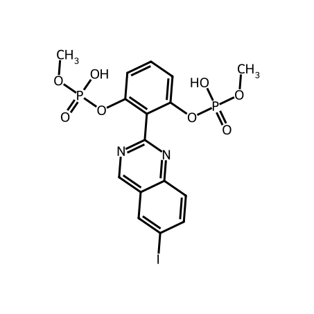 COP(=O)(O)Oc1cccc(OP(=O)(O)OC)c1-c1ncc2cc(I)ccc2n1